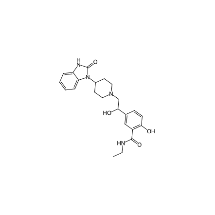 CCNC(=O)c1cc(C(O)CN2CCC(n3c(=O)[nH]c4ccccc43)CC2)ccc1O